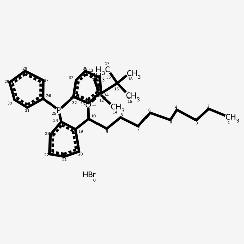 Br.CCCCCCCCCC(O[Si](C)(C)C(C)(C)C)c1ccccc1P(c1ccccc1)c1ccccc1